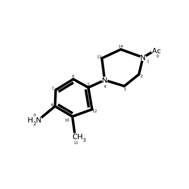 CC(=O)N1CCN(c2ccc(N)c(C)c2)CC1